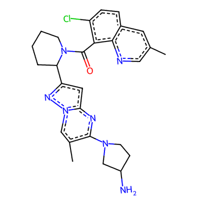 Cc1cnc2c(C(=O)N3CCCCC3c3cc4nc(N5CCC(N)C5)c(C)cn4n3)c(Cl)ccc2c1